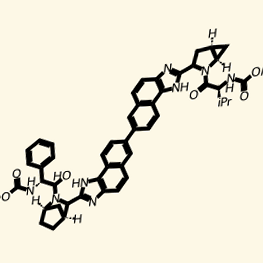 COC(=O)N[C@H](C(=O)N1C(c2nc3ccc4cc(-c5ccc6c(ccc7nc(C8[C@H]9CC[C@H](C9)N8C(O)[C@H](NC(=O)OC)c8ccccc8)[nH]c76)c5)ccc4c3[nH]2)C[C@H]2C[C@H]21)C(C)C